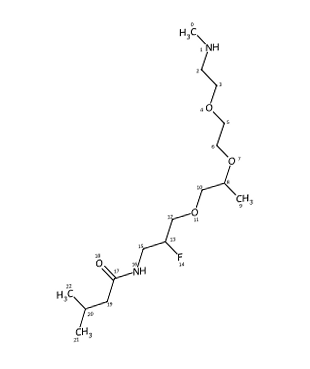 CNCCOCCOC(C)COCC(F)CNC(=O)CC(C)C